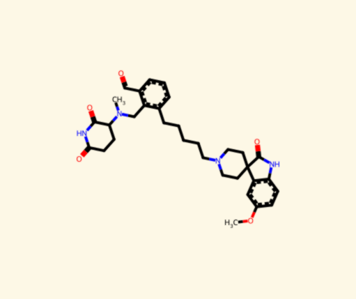 COc1ccc2c(c1)C1(CCN(CCCCCc3cccc(C=O)c3CN(C)C3CCC(=O)NC3=O)CC1)C(=O)N2